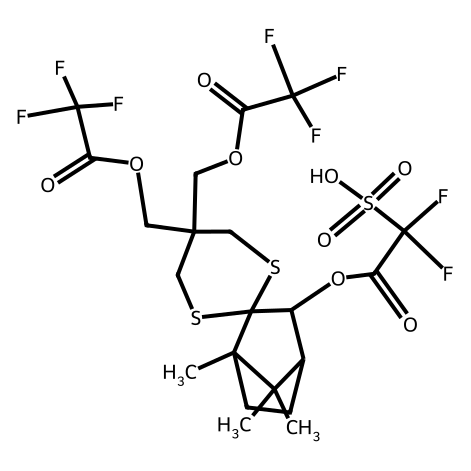 CC1(C)C2CCC1(C)C1(SCC(COC(=O)C(F)(F)F)(COC(=O)C(F)(F)F)CS1)C2OC(=O)C(F)(F)S(=O)(=O)O